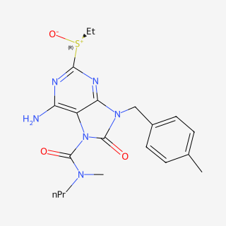 CCCN(C)C(=O)n1c(=O)n(Cc2ccc(C)cc2)c2nc([S@@+]([O-])CC)nc(N)c21